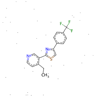 CCc1ccncc1-c1nc(-c2ccc(C(F)(F)F)cc2)cs1